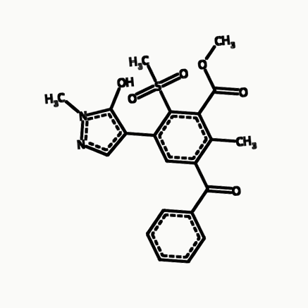 COC(=O)c1c(C)c(C(=O)c2ccccc2)cc(-c2cnn(C)c2O)c1S(C)(=O)=O